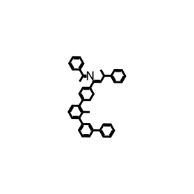 C/C(=N\C(=C/C(C)c1ccccc1)C1=CC=C(c2cccc(-c3cccc(-c4ccccc4)c3)c2C)CC1)c1ccccc1